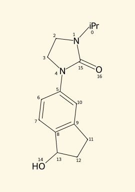 CC(C)N1CCN(c2ccc3c(c2)CCC3O)C1=O